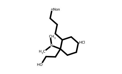 CCCCCCCCCCCCC1CCCCC1(CCO)N(C)C.Cl